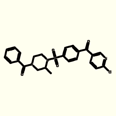 CC1CN(C(=O)c2ccccc2)CCN1S(=O)(=O)c1ccc(C(=O)c2ccc(Cl)nc2)cc1